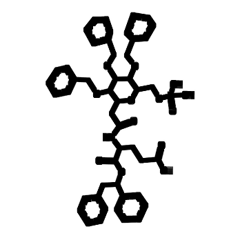 O=C(O)CCC(NC(=O)CC1OC(COP(=O)(O)O)C(OCc2ccccc2)C(OCc2ccccc2)C1OCc1ccccc1)C(=O)OC(Cc1ccccc1)c1ccccc1